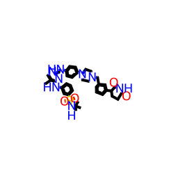 Cc1cnc(Nc2ccc(N3CCN(Cc4cccc(C5CCC(=O)NC5=O)c4)CC3)cc2)nc1Nc1cccc(S(=O)(=O)NC(C)(C)C)c1